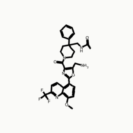 COc1ccc(-c2nc(C(=O)N3CCC(CNC(C)=O)(c4ccccc4)CC3)c(CN)o2)c2ccc(C(F)(F)F)nc12